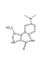 CN(C)c1ccc2[nH]c(=O)c3[nH]cc(C(=O)O)c3c2c1